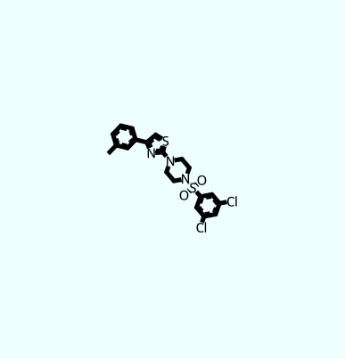 Cc1cccc(-c2csc(N3CCN(S(=O)(=O)c4cc(Cl)cc(Cl)c4)CC3)n2)c1